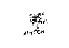 CCCCCCC[C@H](O)C#C[C@H]1[C@H](O)CC[C@]2(CCCCCC)C(=O)C[C@H]12